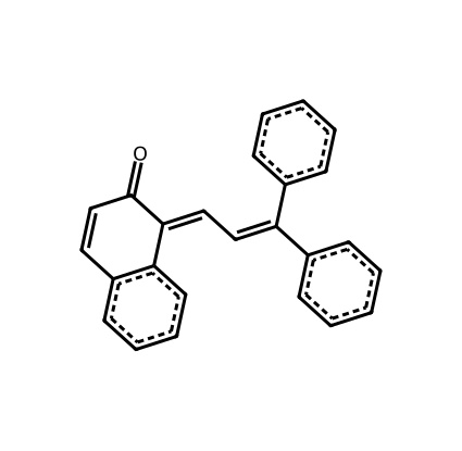 O=C1C=Cc2ccccc2/C1=C\C=C(c1ccccc1)c1ccccc1